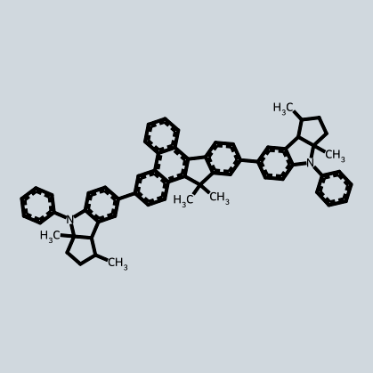 CC1CCC2(C)C1c1cc(-c3ccc4c(c3)C(C)(C)c3c-4c4ccccc4c4cc(-c5ccc6c(c5)C5C(C)CCC5(C)N6c5ccccc5)ccc34)ccc1N2c1ccccc1